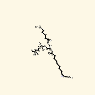 CCCCCCCC/C=C\CCCCCCCC(=O)O[C@H](COC(=O)CCCCCCCCCCCCCC)COP(=O)([O-])OCC[N+](C)(C)C